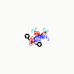 N[C@@H](COC(F)F)C(=O)N[C@@H](COC(F)F)C(=O)N[C@@H](Cc1ccccc1)C(=O)OCc1ccccc1